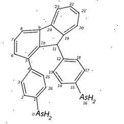 [AsH2]c1ccc(-c2cccc3c2C(c2ccc([AsH2])cc2)c2ccccc2-3)cc1